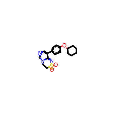 O=S1(=O)CCN2C=NC=C(c3ccc(OC4CCCCC4)cc3)C2=N1